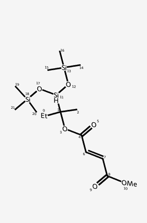 CCC(C)(OC(=O)C=CC(=O)OC)[SiH](O[Si](C)(C)C)O[Si](C)(C)C